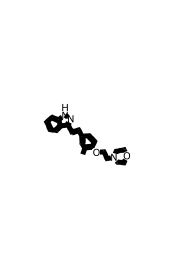 Cc1cc(/C=C/c2n[nH]c3ccccc23)ccc1OCCN1CCOCC1